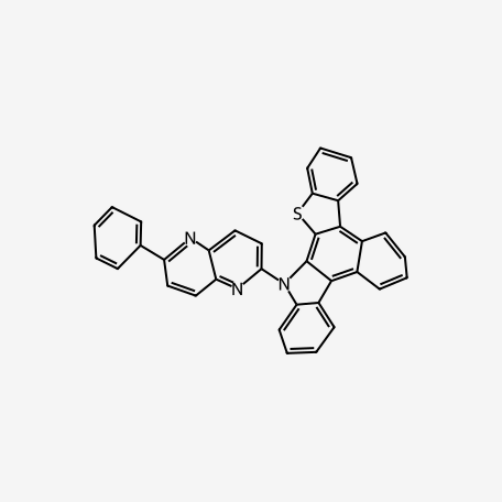 c1ccc(-c2ccc3nc(-n4c5ccccc5c5c6ccccc6c6c7ccccc7sc6c54)ccc3n2)cc1